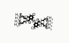 CN(C)CCCN(CCCN(C)C)C(=O)c1c(Cl)cc(Cl)cc1SSc1cc(Cl)cc(Cl)c1C(=O)N(CCCN(C)C)CCCN(C)C